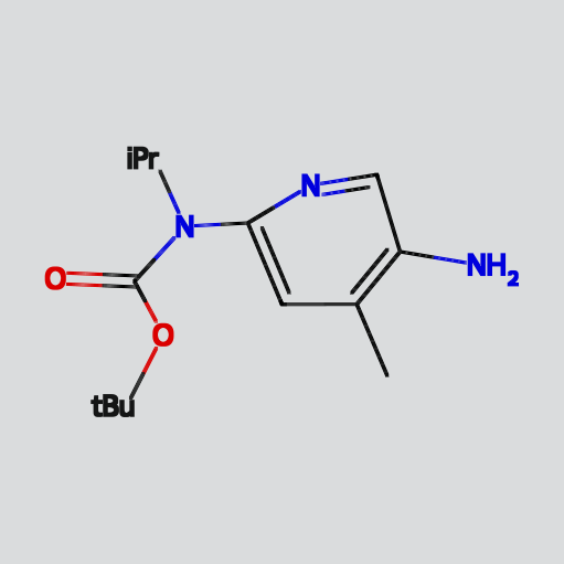 Cc1cc(N(C(=O)OC(C)(C)C)C(C)C)ncc1N